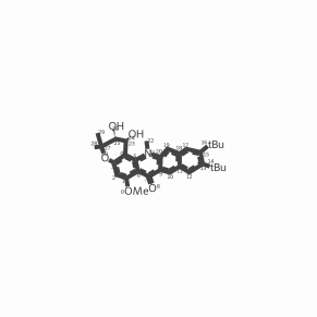 COc1cc2c(c3c1c(=O)c1cc4cc(C(C)(C)C)c(C(C)(C)C)cc4cc1n3C)[C@@H](O)[C@@H](O)C(C)(C)O2